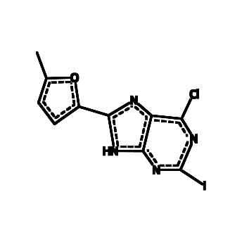 Cc1ccc(-c2nc3c(Cl)nc(I)nc3[nH]2)o1